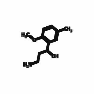 COc1ccc(C)cc1C(O)CCN